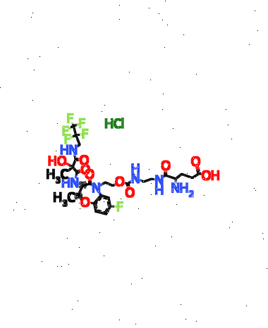 C[C@H]1Oc2ccc(F)cc2N(CCOC(=O)NCCNC(=O)C(N)CCC(=O)O)C(=O)[C@H]1NC(=O)C(C)(O)C(=O)NCC(F)(F)C(F)(F)F.Cl